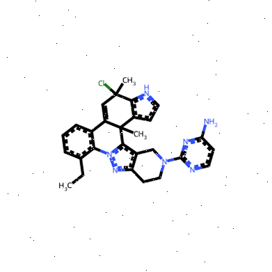 CCc1cccc2c1-n1nc3c(c1C1(C)C2=CC(C)(Cl)c2[nH]ccc21)CN(c1nccc(N)n1)CC3